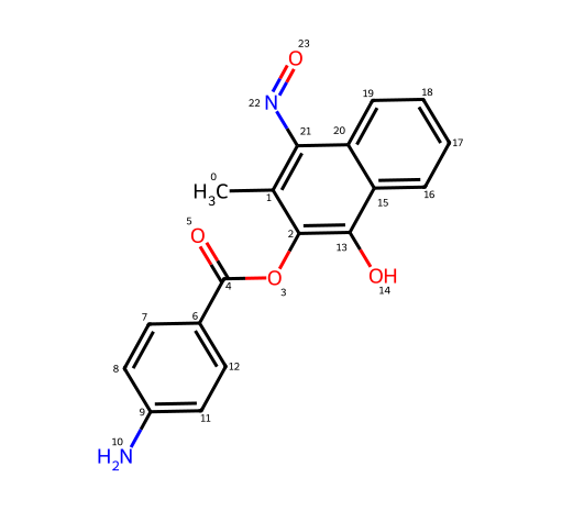 Cc1c(OC(=O)c2ccc(N)cc2)c(O)c2ccccc2c1N=O